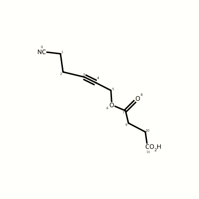 N#CCCC#CCOC(=O)CCC(=O)O